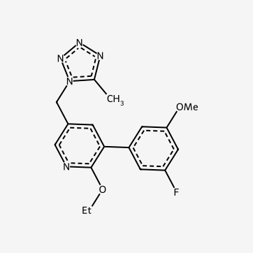 CCOc1ncc(Cn2nnnc2C)cc1-c1cc(F)cc(OC)c1